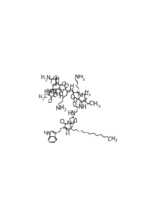 CCCCCCCCCCCCCC(=O)N[C@@H](CCc1c[nH]c2ccccc12)C(=O)NCC(=O)NCC(=O)N[C@H](C(=O)N[C@@H](CCCCN)C(=O)N[C@@H](CCCCN)C(=O)N[C@@H](C)C(=O)N[C@@H](CC(N)=O)C(=O)N[C@@H](C)C(=O)O)[C@@H](C)CC